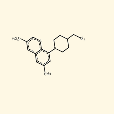 COc1cc(N2CCC(CC(F)(F)F)CC2)c2ncc(C(=O)O)cc2c1